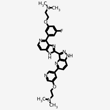 CN(C)CCOc1cncc(-c2ccc3[nH]nc(-c4nc5c(-c6cc(F)cc(OCCN(C)C)c6)nccc5[nH]4)c3n2)c1